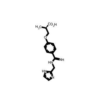 C[C@H](COc1ccc(C(=N)NCc2ncc[nH]2)cc1)C(=O)O